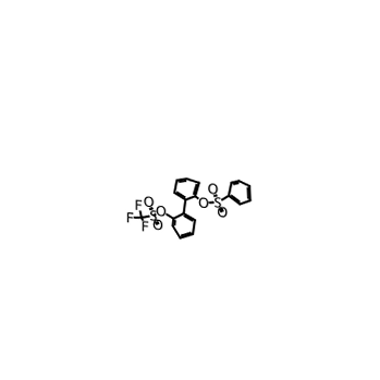 O=S(=O)(Oc1ccccc1-c1ccccc1OS(=O)(=O)C(F)(F)F)c1ccccc1